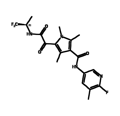 Cc1cc(NC(=O)c2c(C)c(C(=O)C(=O)N[C@H](C)C(F)(F)F)n(C)c2C)cnc1F